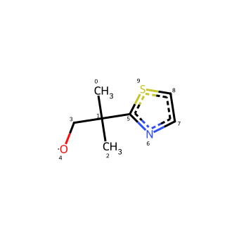 CC(C)(C[O])c1nccs1